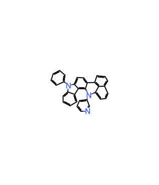 c1ccc(-n2c3ccccc3c3c4c(ccc32)-c2cccc3cccc(c23)N4c2cccnc2)cc1